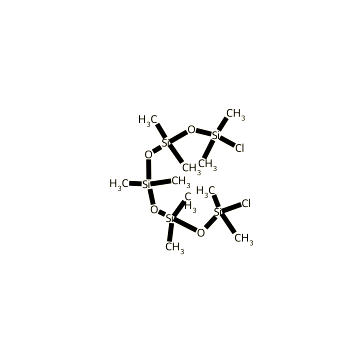 C[Si](C)(Cl)O[Si](C)(C)O[Si](C)(C)O[Si](C)(C)O[Si](C)(C)Cl